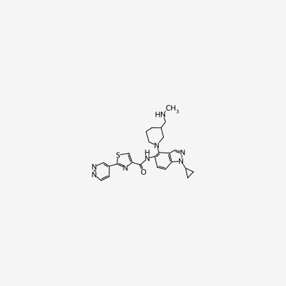 CNCC1CCCN(c2c(NC(=O)c3csc(-c4ccnnc4)n3)ccc3c2cnn3C2CC2)C1